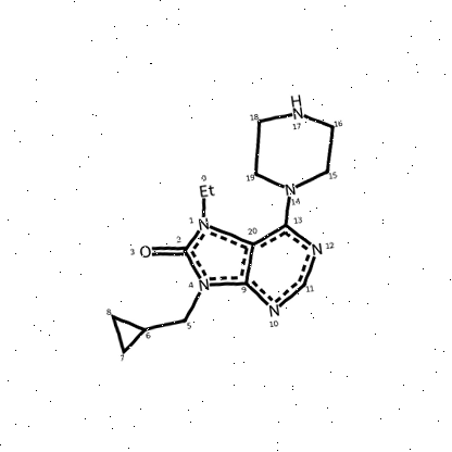 CCn1c(=O)n(CC2CC2)c2ncnc(N3CCNCC3)c21